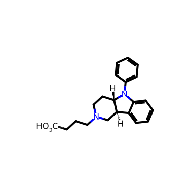 O=C(O)CCCN1CC[C@H]2[C@H](C1)c1ccccc1N2c1ccccc1